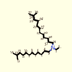 [CH2]CN(CCCCCCCCCCC(C)C)CCCCCCCCCCC(C)C